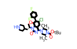 C[C@@H]1CN(c2nc(=O)n3c4c(c(-c5ccc(F)cc5F)c(Cl)cc24)OC[C@H]3CC2CCNCC2)[C@@H](C)CN1C(=O)OC(C)(C)C